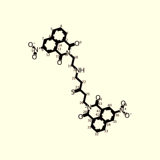 O=C1c2cccc3cc([N+](=O)[O-])cc(c23)C(=O)N1CCNCCC(=S)CCN1C(=O)c2cccc3cc([N+](=O)[O-])cc(c23)C1=O